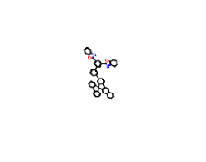 c1cc(-c2cc(-c3nc4ccccc4o3)cc(-c3nc4ccccc4o3)c2)cc(-c2ccc3c(c2)C2(c4ccccc4-c4ccccc42)c2cc4ccccc4cc2-3)c1